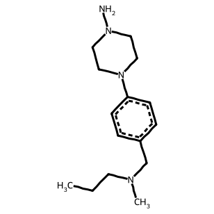 CCCN(C)Cc1ccc(N2CCN(N)CC2)cc1